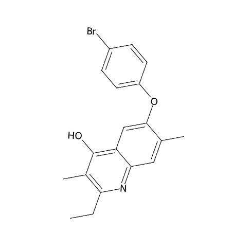 CCc1nc2cc(C)c(Oc3ccc(Br)cc3)cc2c(O)c1C